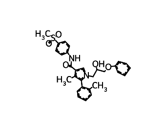 Cc1ccccc1-c1c(C)c(C(=O)Nc2ccc(S(C)(=O)=O)cc2)cn1CC(O)COc1ccccc1